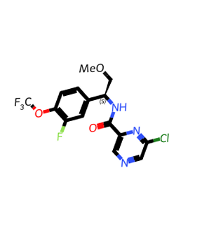 COC[C@@H](NC(=O)c1cncc(Cl)n1)c1ccc(OC(F)(F)F)c(F)c1